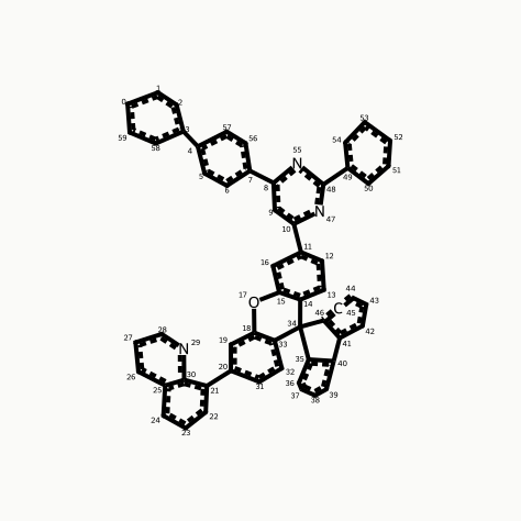 c1ccc(-c2ccc(-c3cc(-c4ccc5c(c4)Oc4cc(-c6cccc7cccnc67)ccc4C54c5ccccc5-c5ccccc54)nc(-c4ccccc4)n3)cc2)cc1